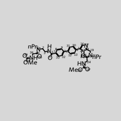 CCCN(CCNC(=O)c1ccc(-c2ccc(-c3cnc(CN(CCC)C(=O)CNC(=O)OC)[nH]3)cc2)cc1)C(=O)CNC(=O)OC